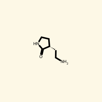 NCC[C@H]1CCNC1=O